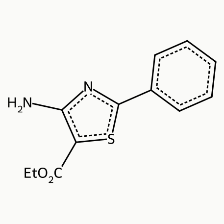 CCOC(=O)c1sc(-c2ccccc2)nc1N